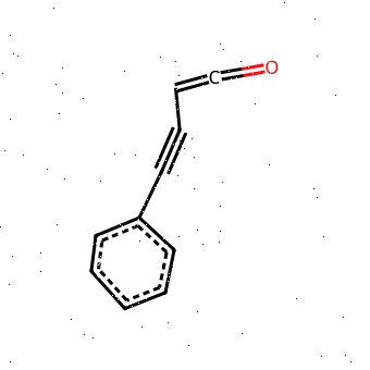 O=C=CC#Cc1ccccc1